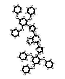 c1ccc(Oc2cc(Oc3ccccc3)c(-c3ccc(-c4cnc(-c5ccc(-c6c(Oc7ccccc7)cc(Oc7ccccc7)cc6Oc6ccccc6)s5)c5nsnc45)s3)c(Oc3ccccc3)c2)cc1